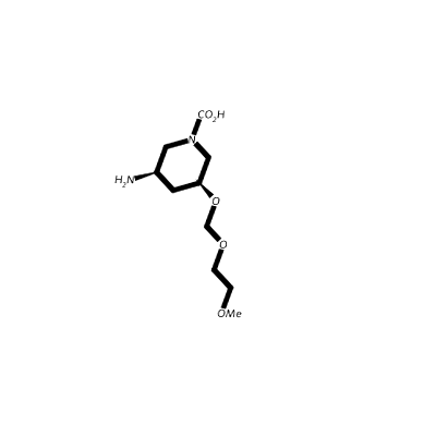 COCCOCO[C@H]1C[C@@H](N)CN(C(=O)O)C1